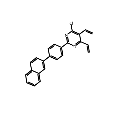 C=Cc1nc(-c2ccc(-c3ccc4ccccc4c3)cc2)nc(Cl)c1C=C